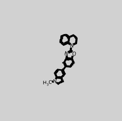 Cn1ccc2cc(-c3ccc4oc(N5CCCc6ccccc65)nc4c3)ccc21